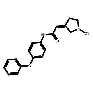 N#CN1CC/C(=C/C(=O)Nc2ccc(Oc3ccccc3)cc2)C1